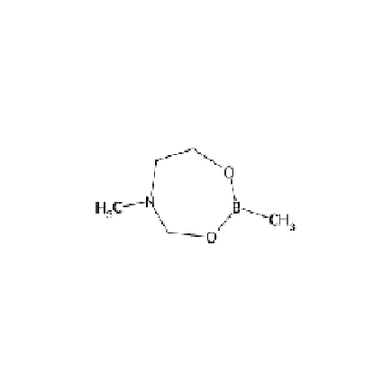 CB1OCCN(C)CO1